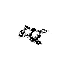 Cc1c2ccc(c1Cl)O[C@H](CN1CCN(C)CC1)COc1ccc(OCc3ccnc(N4CCC5(CC4)CC(F)(F)CO5)n3)c(c1)C[C@H](C(=O)OC(C)(C)C)Oc1ncnc3sc(-c4ccc(F)cc4)c-2c13